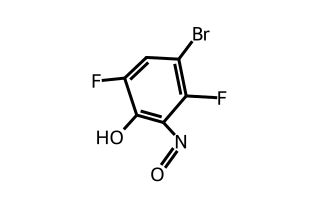 O=Nc1c(O)c(F)cc(Br)c1F